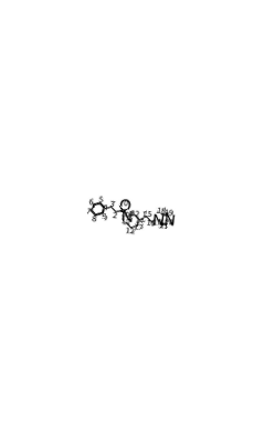 O=C(CCc1ccccc1)N1CCCC(CCn2ccnc2)C1